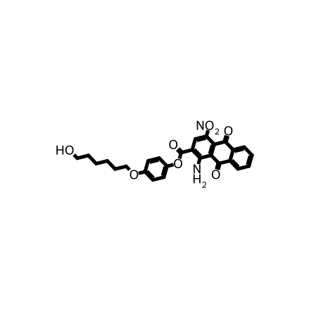 Nc1c(C(=O)Oc2ccc(OCCCCCCO)cc2)cc([N+](=O)[O-])c2c1C(=O)c1ccccc1C2=O